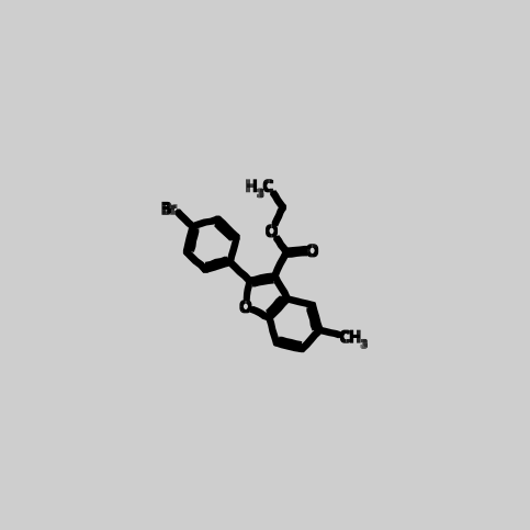 CCOC(=O)c1c(-c2ccc(Br)cc2)oc2ccc(C)cc12